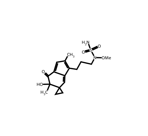 CON(CCCC1=C(C)C=C2C(=O)C(C)(O)C3(C=C21)CC3)S(N)(=O)=O